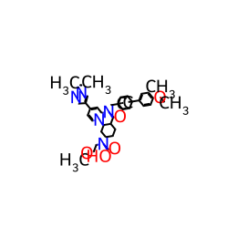 COCCN(C(=O)O)C1CCC(C(=O)N(CC23CCC(c4ccc(OC)c(C)c4)(CC2)CC3)c2cc(-c3cnn(C(C)C)c3)ccn2)CC1